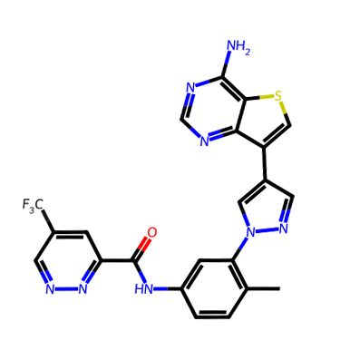 Cc1ccc(NC(=O)c2cc(C(F)(F)F)cnn2)cc1-n1cc(-c2csc3c(N)ncnc23)cn1